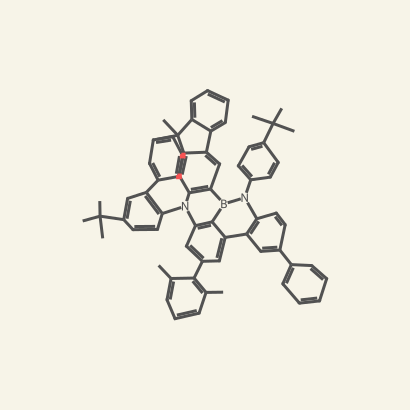 Cc1cccc(C)c1-c1cc2c3c(c1)N(c1ccc(C(C)(C)C)cc1-c1ccccc1)c1cc4c(cc1B3N(c1ccc(C(C)(C)C)cc1)c1ccc(-c3ccccc3)cc1-2)-c1ccccc1C4(C)C